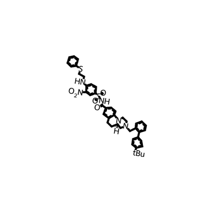 CC(C)(C)c1ccc(-c2ccccc2CN2CCN3c4ccc(C(=O)NS(=O)(=O)c5ccc(NCCSc6ccccc6)c([N+](=O)[O-])c5)cc4CC[C@H]3C2)cc1